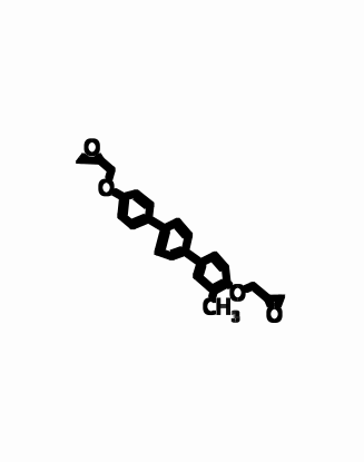 Cc1cc(-c2ccc(-c3ccc(OCC4CO4)cc3)cc2)ccc1OCC1CO1